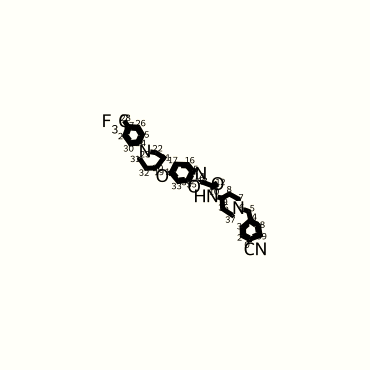 N#Cc1ccc(CN2CCC(NC(=O)c3nc4ccc(OC5CCN(c6ccc(C(F)(F)F)cc6)CC5)cc4o3)CC2)cc1